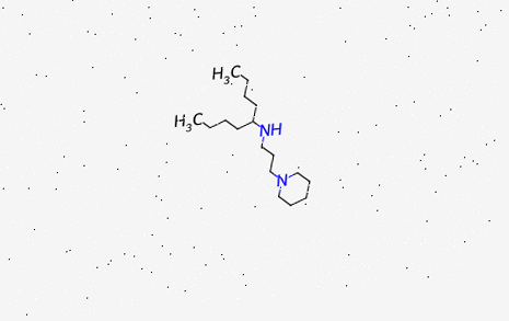 CCCCC(CCCC)NCCCN1CCCCC1